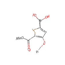 CCOc1cc(B(O)O)sc1C(=O)OC